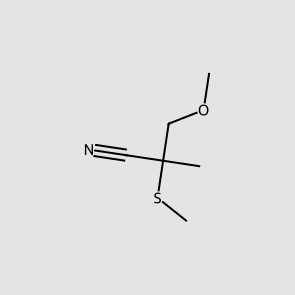 COCC(C)(C#N)SC